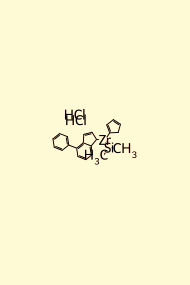 C[Si](C)=[Zr]([C]1=CC=CC1)[CH]1C=Cc2c(-c3ccccc3)cccc21.Cl.Cl